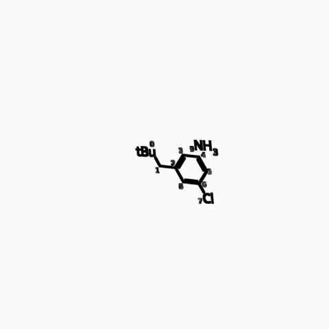 CC(C)(C)Cc1cccc(Cl)c1.N